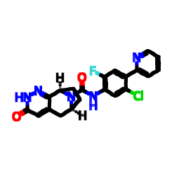 O=C(Nc1cc(Cl)c(-c2ccccn2)cc1F)N1[C@H]2CC[C@@H]1c1n[nH]c(=O)cc1C2